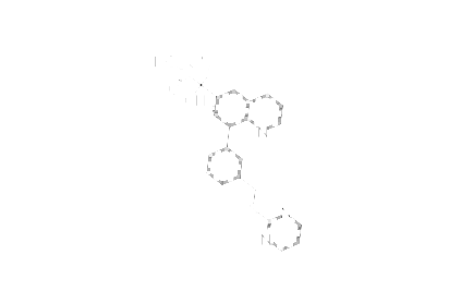 CC(C)(c1cc(-c2cccc(CSc3ncccn3)c2)c2ncccc2c1)S(C)(=O)=O